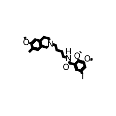 COc1cc2c(cc1C)CN(CCCCNC(=O)c1cc(I)cc(OC)c1OC)CC2